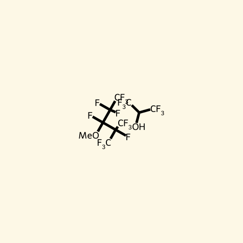 COC(F)(C(F)(F)C(F)(F)F)C(F)(C(F)(F)F)C(F)(F)F.OC(C(F)(F)F)C(F)(F)F